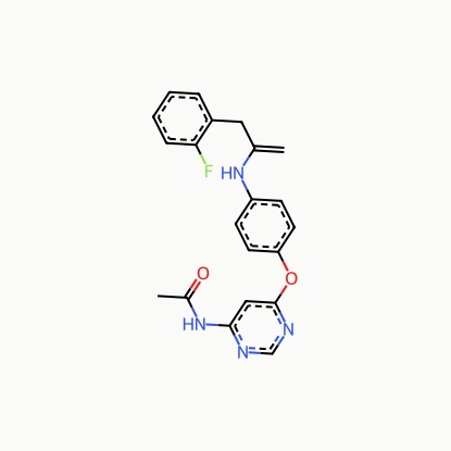 C=C(Cc1ccccc1F)Nc1ccc(Oc2cc(NC(C)=O)ncn2)cc1